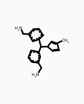 CC1=C[C](C(c2cccc(CN)c2)c2cccc(CN)c2)C=C1